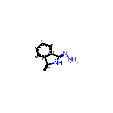 C=C1N/C(=N\N)c2ccccc21